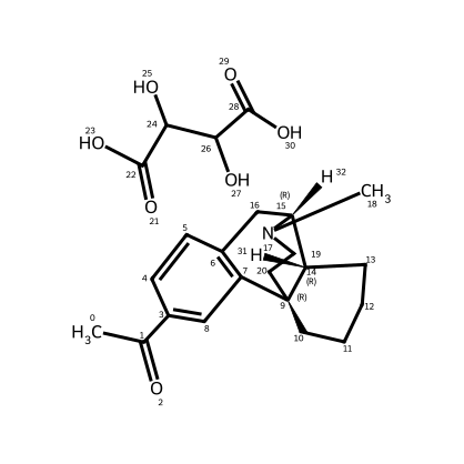 CC(=O)c1ccc2c(c1)[C@@]13CCCC[C@H]1[C@@H](C2)N(C)CC3.O=C(O)C(O)C(O)C(=O)O